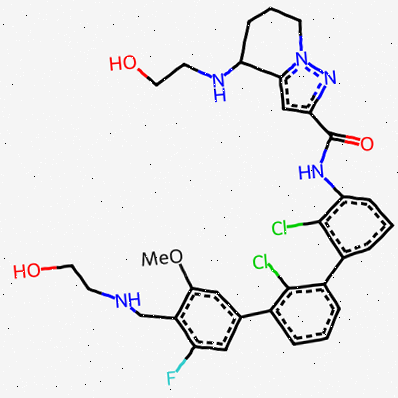 COc1cc(-c2cccc(-c3cccc(NC(=O)c4cc5n(n4)CCCC5NCCO)c3Cl)c2Cl)cc(F)c1CNCCO